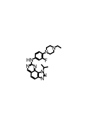 CCN1CCN(c2ccc(Nc3ncc4ccc5nnn(C(C)C)c5c4n3)cc2F)CC1